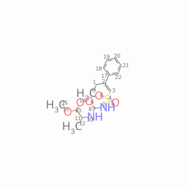 CCC(=CS(=O)(=O)NC(=O)NC(C)C(=O)OC)c1ccccc1